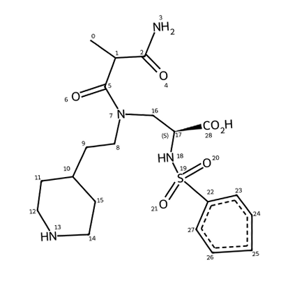 CC(C(N)=O)C(=O)N(CCC1CCNCC1)C[C@H](NS(=O)(=O)c1ccccc1)C(=O)O